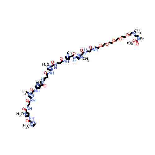 CCN(CCN(C)CCOCCOCCOCCOCCOCCNC(=O)CCNC(=O)c1nc(NC(=O)c2cc(NC(=O)CCNC(=O)c3nc(NC(=O)CCCNC(=O)c4cc(NC(=O)c5nc(NC(=O)CCNC(=O)c6cc(NC(=O)c7nccn7C)cn6C)cn5C)cn4C)cn3C)cn2C)cn1C)C(=O)OC(C)(C)C